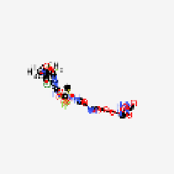 Cc1c(S(C)(=O)=O)c(-c2cc(F)cc(N3CCN(c4ccc(NS(=O)(=O)c5ccc(N[C@H](CCN6CCC(OCCCn7cc(COCCOCCOCCNc8cccc9c8C(=O)N(C8CCC(=O)NC8=O)C9=O)nn7)CC6)CSc6ccccc6)c(S(=O)(=O)C(F)(F)F)c5)cc4)CC3)c2)c(-c2ccc(Cl)cc2)n1C(C)C